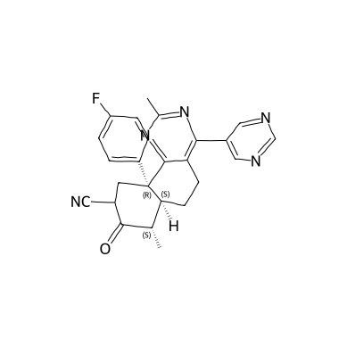 Cc1nc(-c2cncnc2)c2c(n1)[C@]1(c3ccc(F)cc3)CC(C#N)C(=O)[C@@H](C)[C@@H]1CC2